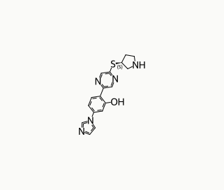 Oc1cc(-n2ccnc2)ccc1-c1cnc(S[C@H]2CCNC2)cn1